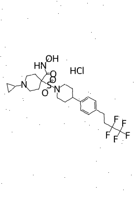 Cl.O=C(NO)C1(S(=O)(=O)N2CCC(c3ccc(CCC(F)(F)C(F)(F)F)cc3)CC2)CCN(C2CC2)CC1